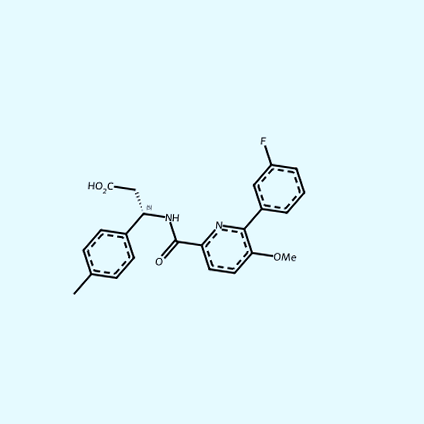 COc1ccc(C(=O)N[C@@H](CC(=O)O)c2ccc(C)cc2)nc1-c1cccc(F)c1